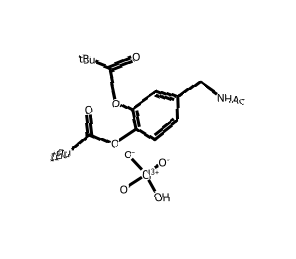 CC(=O)NCc1ccc(OC(=O)C(C)(C)C)c(OC(=O)C(C)(C)C)c1.[O-][Cl+3]([O-])([O-])O